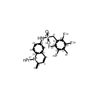 C=C1C=Cc2cc(NS(=O)(=O)Cc3c(F)c(F)c(C)c(F)c3F)ccc2N1CCC